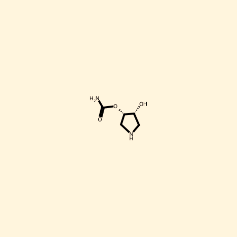 NC(=O)O[C@H]1CNC[C@H]1O